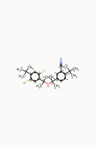 CC(C)(C)c1cc(F)c(C(C)(C)OC(C)(C)c2ccc(C(C)(C)C)c(C#N)c2)cc1F